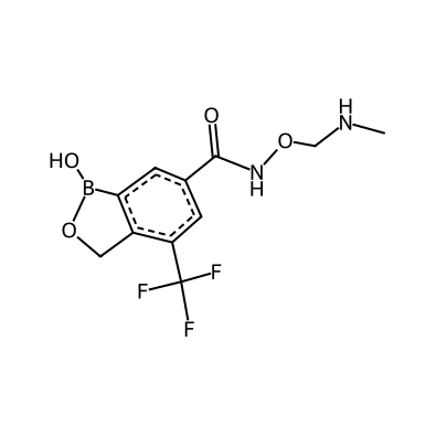 CNCONC(=O)c1cc2c(c(C(F)(F)F)c1)COB2O